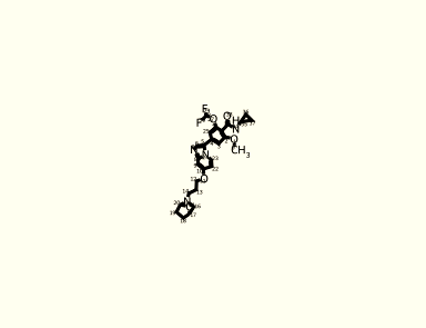 COc1cc(-c2cnc3cc(OCCCN4CC5CCC4O5)ccn23)cc(OC(F)F)c1C(=O)NC1CC1